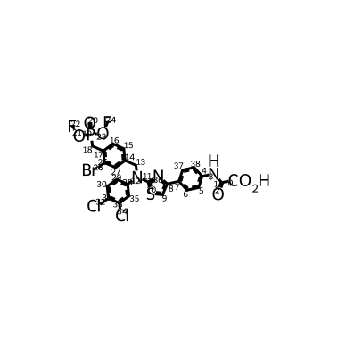 O=C(O)C(=O)Nc1ccc(-c2csc(N(Cc3ccc(CP(=O)(OF)OF)c(Br)c3)c3ccc(Cl)c(Cl)c3)n2)cc1